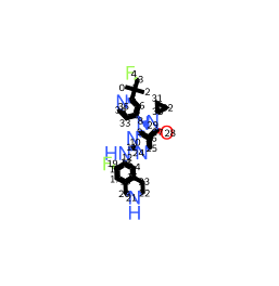 CC(C)(CF)c1cc(-n2c3nc(Nc4cc5c(cc4F)CNCC5)ncc3c(=O)n2C2CC2)ccn1